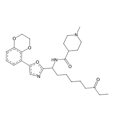 CCC(=O)CCCCCC(NC(=O)C1CCN(C)CC1)c1ncc(-c2cccc3c2OCCO3)o1